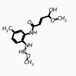 COBNc1ccc(C)cc1NC(=O)/C=C/C(O)OC